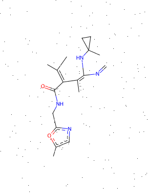 C=N/C(NC1(C)CC1)=C(\C)C(C(=O)NCc1ncc(C)o1)=C(C)C